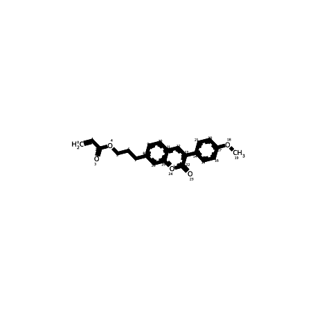 C=CC(=O)OCCCc1ccc2cc(-c3ccc(OC)cc3)c(=O)oc2c1